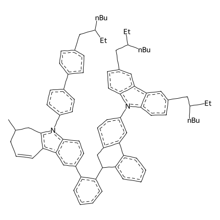 CCCCC(CC)Cc1ccc(-c2ccc(-n3c4c(c5cc(-c6ccccc6C6Cc7ccc(-n8c9ccc(CC(CC)CCCC)cc9c9cc(CC(CC)CCCC)ccc98)cc7-c7ccccc76)ccc53)C=CCC(C)C4)cc2)cc1